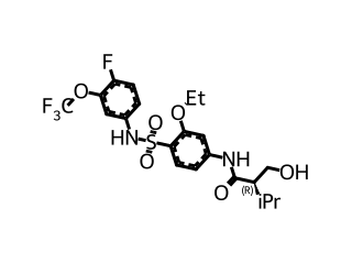 CCOc1cc(NC(=O)[C@@H](CO)C(C)C)ccc1S(=O)(=O)Nc1ccc(F)c(OC(F)(F)F)c1